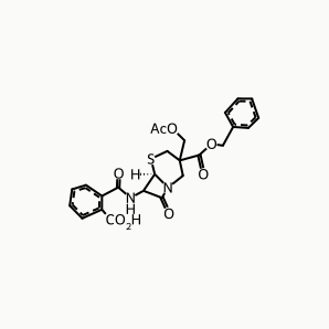 CC(=O)OCC1(C(=O)OCc2ccccc2)CS[C@@H]2C(NC(=O)c3ccccc3C(=O)O)C(=O)N2C1